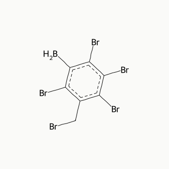 Bc1c(Br)c(Br)c(Br)c(CBr)c1Br